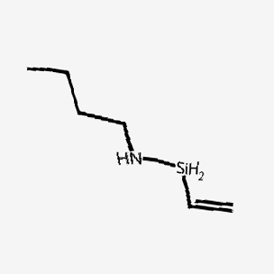 C=C[SiH2]NCCCC